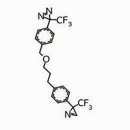 FC(F)(F)C1(c2ccc(CCCOCc3ccc(C4(C(F)(F)F)N=N4)cc3)cc2)C=N1